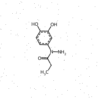 CCC(=O)N(N)c1ccc(O)c(O)c1